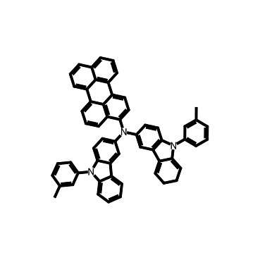 Cc1cccc(-n2c3c(c4cc(N(c5ccc6c(c5)c5ccccc5n6-c5cccc(C)c5)c5ccc6c7cccc8cccc(c9cccc5c96)c87)ccc42)=CCCC=3)c1